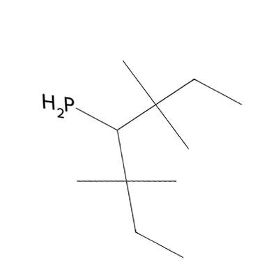 CCC(C)(C)C(P)C(C)(C)CC